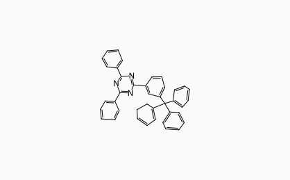 C1=CCCC(C(c2ccccc2)(c2ccccc2)c2cccc(-c3nc(-c4ccccc4)nc(-c4ccccc4)n3)c2)=C1